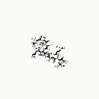 C/C=C/C[C@@H](C)[C@@H](O)[C@@H](C(=O)N[C@@H](CC)C(=O)N(C)[C@H](SCCCN(CC)C(C)C)C(=O)N(C)[C@@H](CC(C)(C)O)C(N)=O)N(C)C(=O)[C@H](C(C)C)N(C)C(=O)[C@H](CC(C)C)N(C)C(=O)[C@@H](C)N(C)C(=O)CC